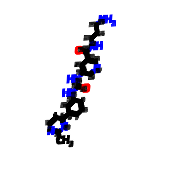 Cc1nccc(-c2cccc(NC(=O)Nc3cncc(C(=O)NCCCN)c3)c2)n1